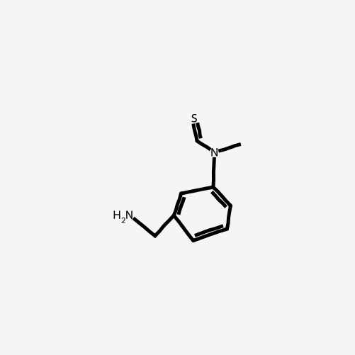 CN(C=S)c1cccc(CN)c1